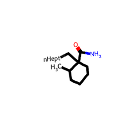 CCCCCCCCC1(C(N)=O)CCCCC1C